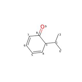 CC(C)C1C=CC=CC1=O